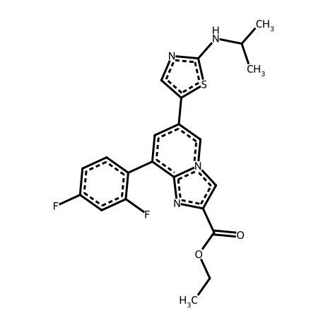 CCOC(=O)c1cn2cc(-c3cnc(NC(C)C)s3)cc(-c3ccc(F)cc3F)c2n1